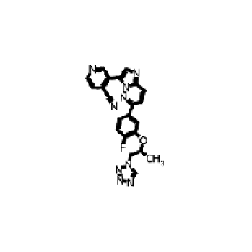 CC(Cn1cnnn1)Oc1cc(-c2ccc3ncc(-c4cnccc4C#N)n3n2)ccc1F